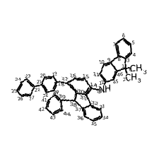 CC1(C)c2ccccc2-c2ccc(Nc3ccc(-c4ccc(-c5ccccc5)cc4)c4c3-c3ccccc3C4c3ccccc3)cc21